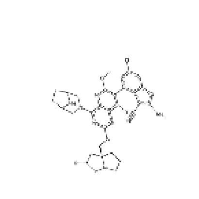 COc1nc2c(N3CC4CCC(C3)N4)nc(OC[C@@]34CCCN3C[C@H](F)C4)nc2c(F)c1-c1cc(Cl)cc2oc(N)c(C#N)c12